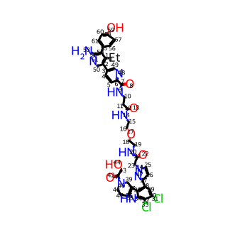 CCc1c(-c2ccc(C(=O)NCCC(=O)NCCOCCNC(=O)Cn3ccc(-c4cc(Cl)c(Cl)c5[nH]c6c(c45)CN(C(=O)CO)CC6)n3)nc2)cnc(N)c1-c1ccc(O)cc1